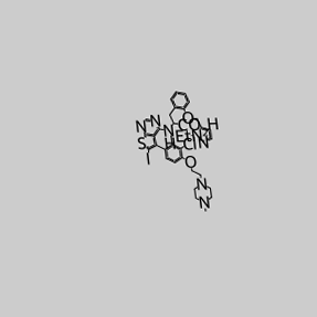 CCn1nccc1COc1ccccc1CC(Nc1ncnc2sc(I)c(-c3ccc(OCCN4CCN(C)CC4)c(Cl)c3C)c12)C(=O)O